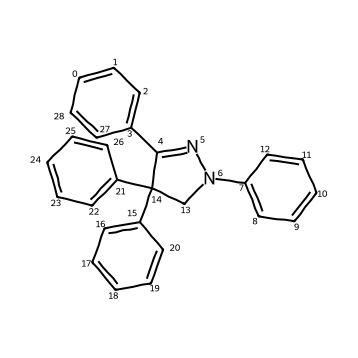 c1ccc(C2=NN(c3ccccc3)CC2(c2ccccc2)c2ccccc2)cc1